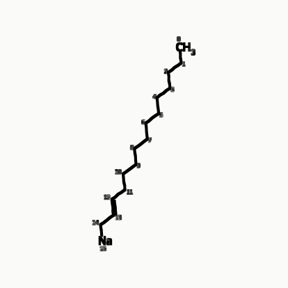 CCCCCCCCCCCCC=C[CH2][Na]